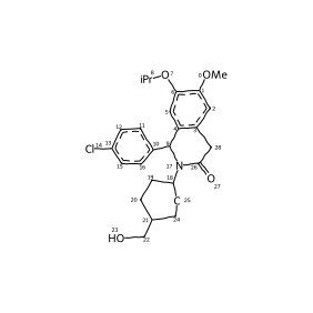 COc1cc2c(cc1OC(C)C)C(c1ccc(Cl)cc1)N(C1CCC(CO)CC1)C(=O)C2